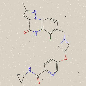 Cc1cc2c(=O)[nH]c3c(F)c(CN4CC(Oc5ccc(C(=O)NC6CC6)nc5)C4)ccc3n2n1